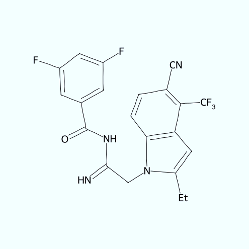 CCc1cc2c(C(F)(F)F)c(C#N)ccc2n1CC(=N)NC(=O)c1cc(F)cc(F)c1